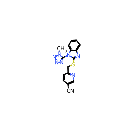 Cn1nnnc1-n1c(SCc2ccc(C#N)cn2)nc2ccccc21